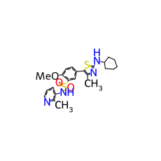 COc1ccc(-c2sc(NC3CCCCC3)nc2C)cc1S(=O)(=O)Nc1cccnc1C